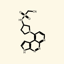 N#CCS(=O)(=O)NC1CCN(c2ccnc3nnc4[nH]ccc4c23)C1